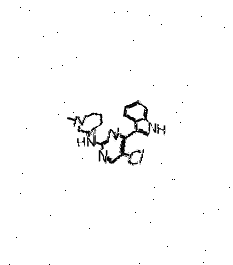 CN1CCC[C@@H](Nc2ncc(Cl)c(-c3c[nH]c4ccccc34)n2)C1